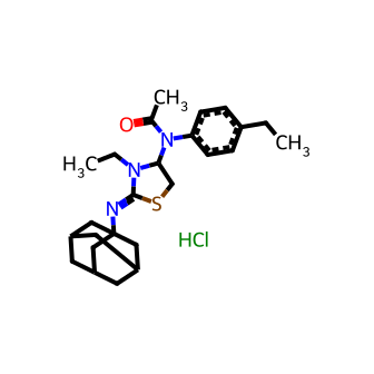 CCc1ccc(N(C(C)=O)C2CSC(=NC34CC5CC(CC(C5)C3)C4)N2CC)cc1.Cl